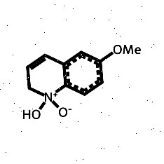 COc1ccc2c(c1)C=CC[N+]2([O-])O